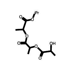 CC(C)OC(=O)C(C)OC(=O)C(C)OC(=O)C(C)O